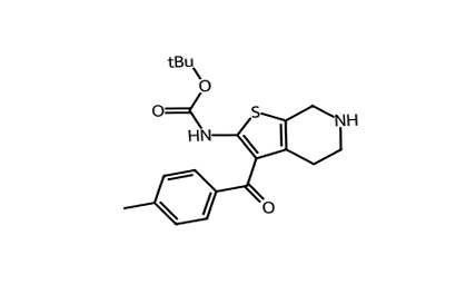 Cc1ccc(C(=O)c2c(NC(=O)OC(C)(C)C)sc3c2CCNC3)cc1